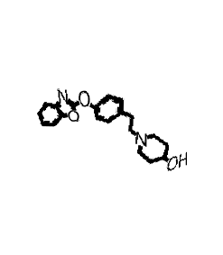 OC1CCN(CCc2ccc(Oc3nc4ccccc4o3)cc2)CC1